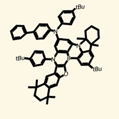 CC(C)(C)c1ccc(N(c2ccc(-c3ccccc3)cc2)c2cc3c4c(c2)N2c5c(cc(C(C)(C)C)cc5C5(C)CCCCC25C)B4c2oc4cc5c(cc4c2N3c2ccc(C(C)(C)C)cc2)C(C)(C)CCC5(C)C)cc1